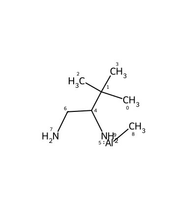 CC(C)(C)C(N)CN.[CH3][Al]